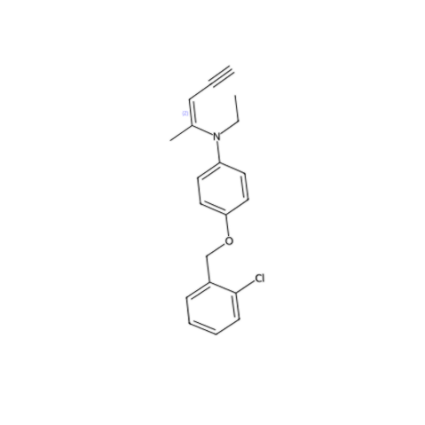 C#C/C=C(/C)N(CC)c1ccc(OCc2ccccc2Cl)cc1